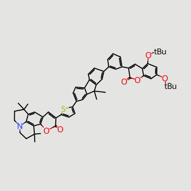 CC(C)(C)Oc1cc(OC(C)(C)C)c2cc(-c3cccc(-c4ccc5c(c4)C(C)(C)c4cc(-c6ccc(-c7cc8cc9c%10c(c8oc7=O)C(C)(C)CCN%10CCC9(C)C)s6)ccc4-5)c3)c(=O)oc2c1